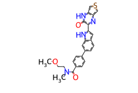 COCCN(C)C(=O)c1ccc(-c2ccc3cc(-c4nc5cscc5[nH]c4=O)[nH]c3c2)cc1